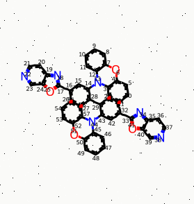 c1ccc2c(c1)Oc1ccccc1N2c1cc(-c2nc3ccncc3o2)ccc1-c1ccc(-c2nc3ccncc3o2)cc1N1c2ccccc2Oc2ccccc21